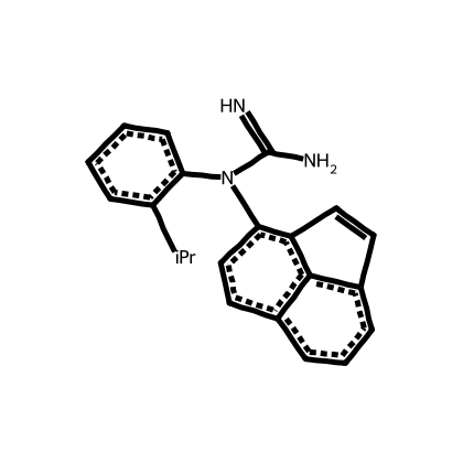 CC(C)c1ccccc1N(C(=N)N)c1ccc2cccc3c2c1C=C3